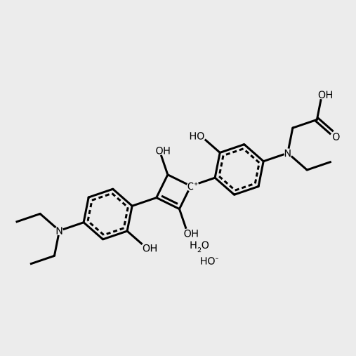 CCN(CC)c1ccc(C2=C(O)[C+](c3ccc(N(CC)CC(=O)O)cc3O)C2O)c(O)c1.O.[OH-]